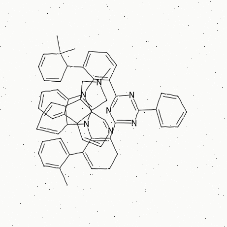 Cc1ccccc1C1=CCCC(c2nc(-c3ccccc3)nc(-c3cccc(C4C=CC=CC4(C)C)c3N3c4ccccc4C4C=CN=CC43)n2)=C1N1C2=C(CN(C)C2)C2C=CC=CC21